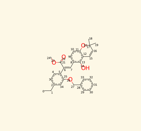 CCc1ccc(C(=Cc2ccc3c(c2O)C=CC(C)(C)O3)C(=O)OC)c(OCc2ccccc2)c1